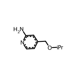 CC(C)OCc1ccnc(N)c1